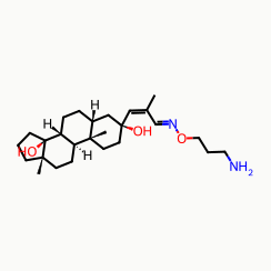 CC(C=NOCCCN)=C[C@]1(O)CC[C@@]2(C)[C@H](CC[C@@H]3[C@@H]2CC[C@]2(C)CCC[C@]32O)C1